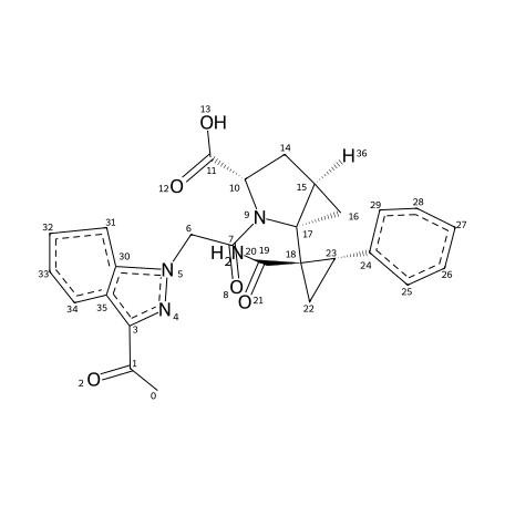 CC(=O)c1nn(CC(=O)N2[C@H](C(=O)O)C[C@H]3C[C@@]32[C@@]2(C(N)=O)C[C@H]2c2ccccc2)c2ccccc12